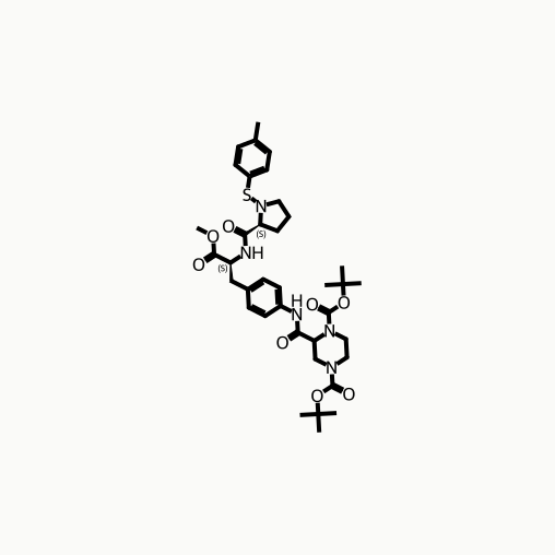 COC(=O)[C@H](Cc1ccc(NC(=O)C2CN(C(=O)OC(C)(C)C)CCN2C(=O)OC(C)(C)C)cc1)NC(=O)[C@@H]1CCCN1Sc1ccc(C)cc1